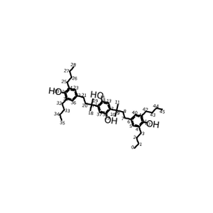 CCCCc1cc(CCC(C)(C)c2cc(O)c(C(C)(C)CCc3cc(CCCC)c(O)c(CCCC)c3)cc2O)cc(CCCC)c1O